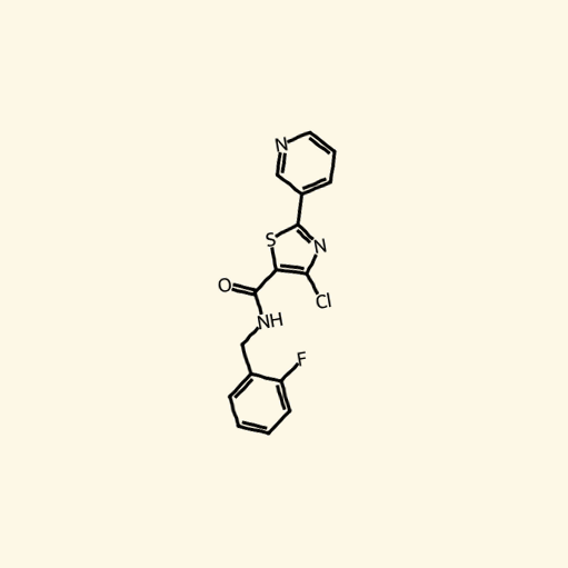 O=C(NCc1ccccc1F)c1sc(-c2cccnc2)nc1Cl